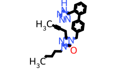 CC#CCc1nn(CCCCC)c(=O)n1Cc1ccc(-c2ccccc2-c2nnn[nH]2)cc1